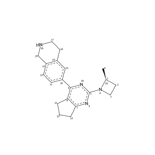 C[C@H]1CCN1c1nc2c(c(-c3ccc4c(c3)CCNC4)n1)CCC2